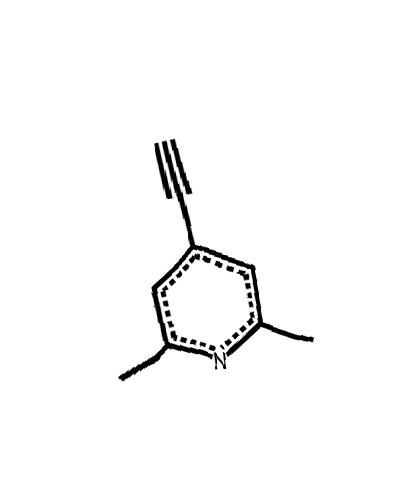 C#Cc1cc(C)nc(C)c1